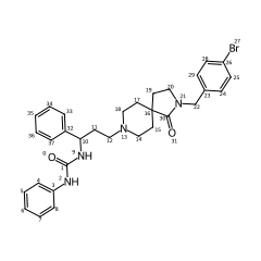 O=C(Nc1ccccc1)NC(CCN1CCC2(CC1)CCN(Cc1ccc(Br)cc1)C2=O)c1ccccc1